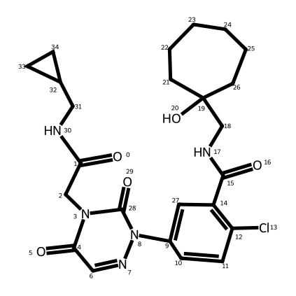 O=C(Cn1c(=O)cnn(-c2ccc(Cl)c(C(=O)NCC3(O)CCCCCC3)c2)c1=O)NCC1CC1